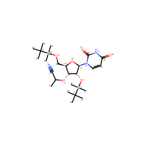 CC(C#N)O[C@H]1[C@@H](O[Si](C)(C)C(C)(C)C)[C@H](n2ccc(=O)[nH]c2=O)O[C@@H]1CO[Si](C)(C)C(C)(C)C